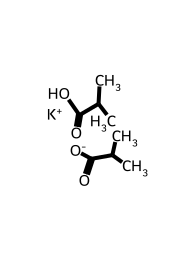 CC(C)C(=O)O.CC(C)C(=O)[O-].[K+]